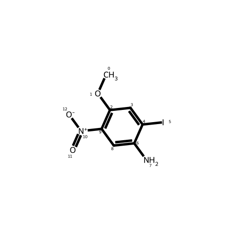 COc1cc(I)c(N)cc1[N+](=O)[O-]